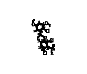 COc1cc(OC)c(Cl)c(C(C)Cc2ccc(Cl)c(C(C)C)c2Cl)c1